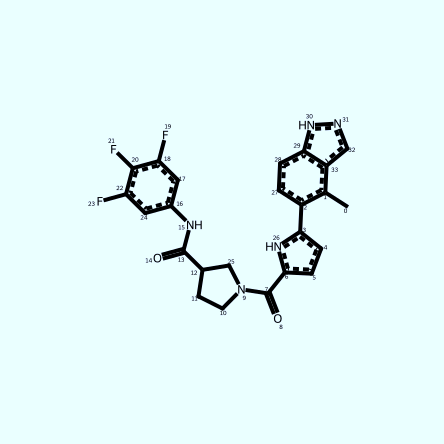 Cc1c(-c2ccc(C(=O)N3CCC(C(=O)Nc4cc(F)c(F)c(F)c4)C3)[nH]2)ccc2[nH]ncc12